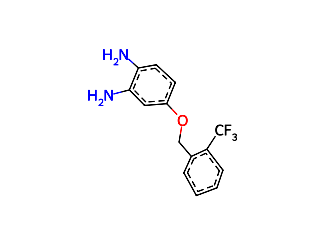 Nc1ccc(OCc2ccccc2C(F)(F)F)cc1N